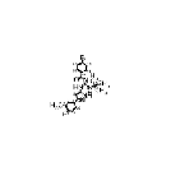 Cc1cc(-c2cc(N/C(=N\C(=O)c3ccc(F)cc3)NC(C)(C)C)[nH]n2)ccc1F